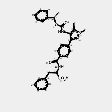 Cc1c(NC(=O)O[C@H](C)c2ccccc2)c(-c2ccc(C(=O)NC(Cc3ccccc3)C(=O)O)cc2)nn1C